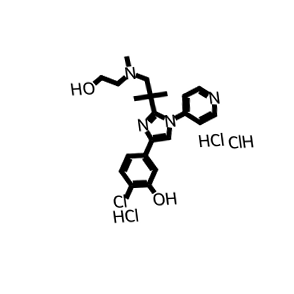 CN(CCO)CC(C)(C)c1nc(-c2ccc(Cl)c(O)c2)cn1-c1ccncc1.Cl.Cl.Cl